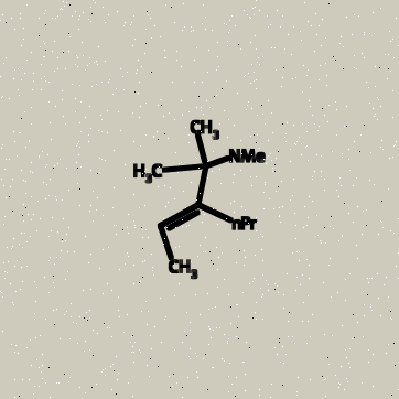 C/C=C(\CCC)C(C)(C)NC